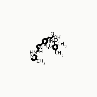 Cc1ccnc(NCc2ccc(-c3ccc(CC(NC(=O)c4c(C)cc(C)cc4C)C(=O)O)cc3)[nH]2)c1